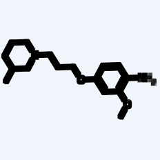 COc1cc(OCCCN2CCCC(C)C2)ccc1N